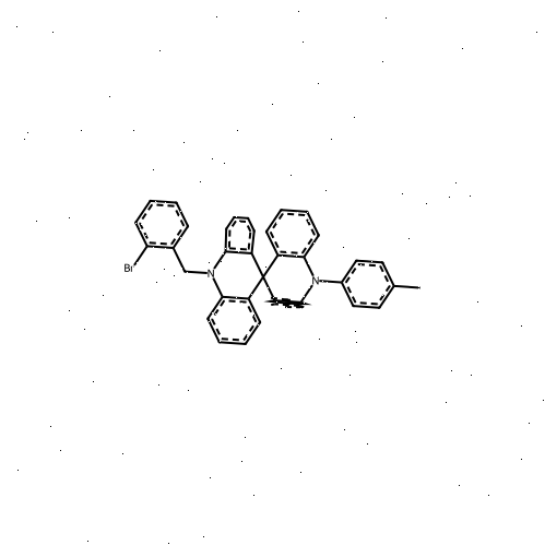 Cc1ccc(N2c3ccccc3C3(c4ccccc4N(Cc4ccccc4Br)c4ccccc43)c3ccccc32)cc1